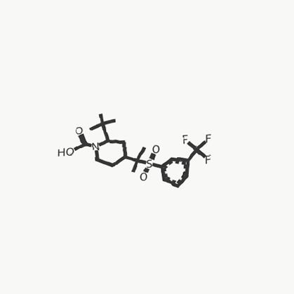 CC(C)(C)C1CC(C(C)(C)S(=O)(=O)c2cccc(C(F)(F)F)c2)CCN1C(=O)O